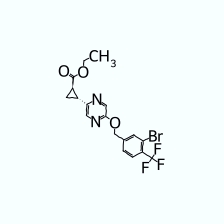 CCOC(=O)[C@@H]1C[C@H]1c1cnc(OCc2ccc(C(F)(F)F)c(Br)c2)cn1